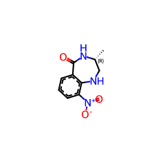 C[C@@H]1CNc2c(cccc2[N+](=O)[O-])C(=O)N1